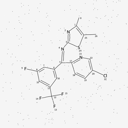 Cc1nc(N=C(c2cc(F)cc(C(F)(F)F)c2)c2ccc(Cl)cn2)sc1C